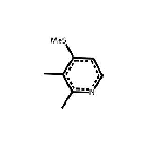 [CH2]Sc1ccnc(C)c1C